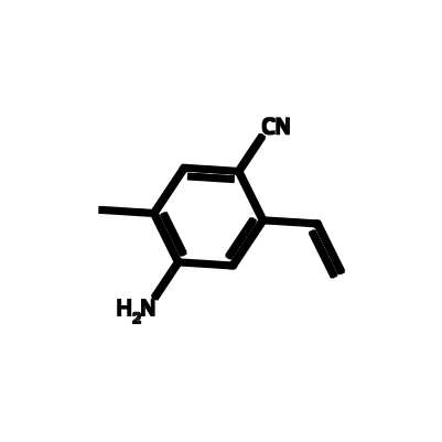 C=Cc1cc(N)c(C)cc1C#N